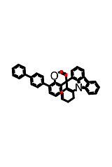 C1=CC2=C(CC1)n1c3ccccc3c3cccc(c31)C21c2ccccc2Oc2c(-c3ccc(-c4ccccc4)cc3)cccc21